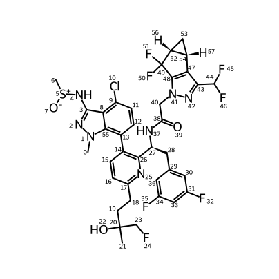 Cn1nc(N[S+](C)[O-])c2c(Cl)ccc(-c3ccc(CCC(C)(O)CF)nc3[C@H](Cc3cc(F)cc(F)c3)NC(=O)Cn3nc(C(F)F)c4c3C(F)(F)[C@@H]3C[C@H]43)c21